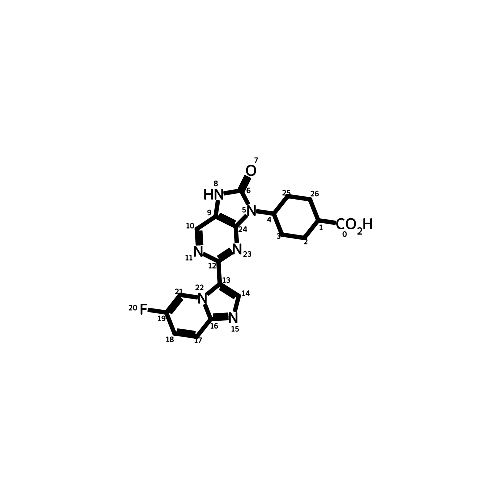 O=C(O)C1CCC(n2c(=O)[nH]c3cnc(-c4cnc5ccc(F)cn45)nc32)CC1